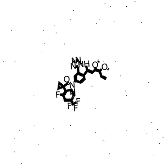 C=C/C(OC)=C(\C=C(/C)c1ccc(NC(=O)C2(c3ccc(C(F)(F)F)cc3F)CC2)cc1-c1nnn[nH]1)OC